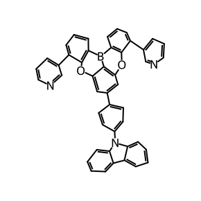 c1cncc(-c2cccc3c2Oc2cc(-c4ccc(-n5c6ccccc6c6ccccc65)cc4)cc4c2B3c2cccc(-c3cccnc3)c2O4)c1